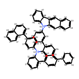 c1ccc(-c2ccc(-c3ccccc3N(c3ccc(-c4cccc5ccccc45)cc3)c3ccccc3-c3cccc(-n4c5ccccc5c5cc6ccccc6cc54)c3)cc2)cc1